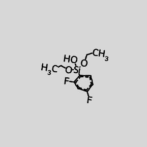 CCO[Si](O)(OCC)c1ccc(F)cc1F